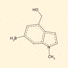 Bc1cc(CO)c2ccn(C)c2c1